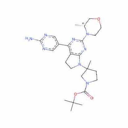 C[C@@H]1COCCN1c1nc(-c2cnc(N)nc2)c2c(n1)N(C1(C)CCN(C(=O)OC(C)(C)C)C1)CC2